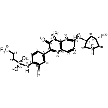 CC(C)n1c(=O)c(-c2ccc(NS(=O)(=O)CCC(F)(F)F)c(F)c2)nc2cnc(N[C@@H]3CNC[C@@H](F)C3)nc21